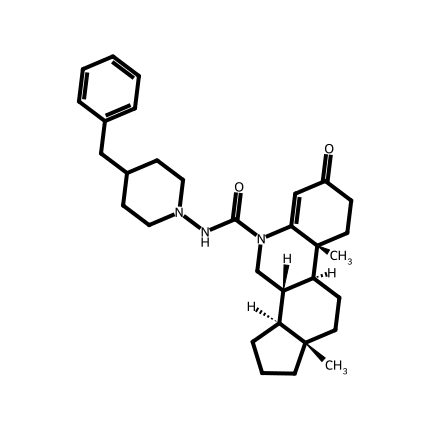 C[C@@]12CCC[C@H]1[C@@H]1CN(C(=O)NN3CCC(Cc4ccccc4)CC3)C3=CC(=O)CC[C@]3(C)[C@H]1CC2